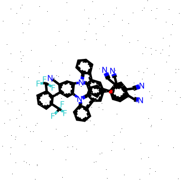 N#Cc1ccc(-c2ccc3c(c2)c2ccccc2n3-c2cc(C#N)c(-c3c(C(F)(F)F)cccc3C(F)(F)F)cc2-n2c3ccccc3c3cc(-c4ccc(C#N)cc4C#N)ccc32)c(C#N)c1